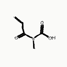 [CH2]CC(=O)N(C)C(=O)O